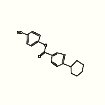 N#Cc1ccc(OC(=O)c2ccc(C3CCCCC3)cc2)cc1